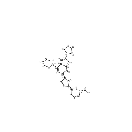 COc1cccc(-c2ccn(-c3cc(N4CCOCC4)n4nc(C5CCCO5)cc4n3)n2)c1